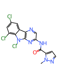 Cn1nccc1C(=O)Nc1cnc2c3cc(Cl)cc(Cl)c3n(Cl)c2n1